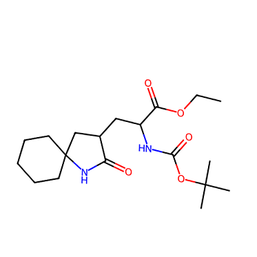 CCOC(=O)C(CC1CC2(CCCCC2)NC1=O)NC(=O)OC(C)(C)C